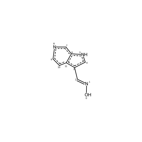 ON=Cc1c[nH]c2cnccc12